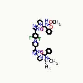 CCN(CC)[C@@H](C(=O)N1CCC[C@H]1c1ncc(C2CCN(c3c(F)cc(-c4cnc([C@@H]5CCCN5C(=O)[C@H](NC(=O)OC)c5ccccc5)[nH]4)cc3F)CC2)[nH]1)c1ccccc1